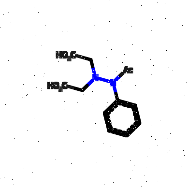 CC(=O)N(c1ccccc1)N(CC(=O)O)CC(=O)O